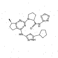 C[C@@H]1CCc2c(Nc3cc(C4CCCC4)[nH]n3)nc(N3CCC[C@H]3C(=O)Nc3nccs3)nc21